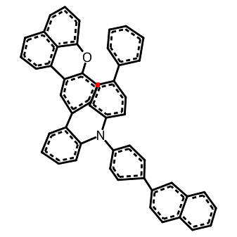 c1ccc(-c2ccc(N(c3ccc(-c4ccc5ccccc5c4)cc3)c3ccccc3-c3ccc4c(c3)-c3cccc5cccc(c35)O4)cc2)cc1